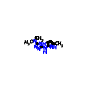 Cc1ccc(Nc2nnc(N(C)C)[nH]2)[nH]1